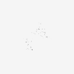 C[C@@H](C1CCN(C(=O)c2ccc(C(F)(F)F)nc2S(=O)(=O)C2CC2)CC1)S(=O)(=O)c1cccc(C(F)(F)F)c1